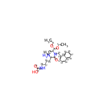 CCOC(OCC)[C@H](C)N(Cc1cccc2ccccc12)C(=O)[C@@H](N)CCCCNC(=O)O